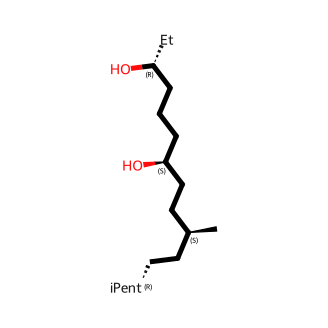 CCC[C@@H](C)CC[C@H](C)CC[C@@H](O)CCC[C@H](O)CC